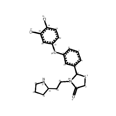 O=C1CSC(c2cccc(Oc3ccc(Cl)c(Cl)c3)c2)N1CCC1CCCN1